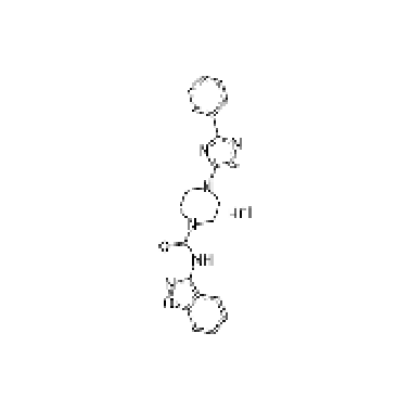 Cl.O=C(Nc1noc2ccccc12)N1CCN(c2nc(-c3ccccc3)ns2)CC1